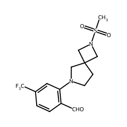 CS(=O)(=O)N1CC2(CCN(c3cc(C(F)(F)F)ccc3C=O)C2)C1